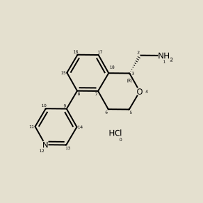 Cl.NC[C@@H]1OCCc2c(-c3ccncc3)cccc21